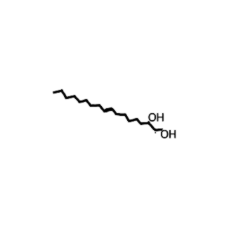 CCCCCCCCC=CCCCCCC(O)[CH]CO